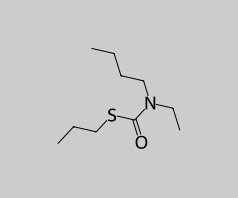 CCCCN(CC)C(=O)SCCC